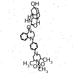 CC1CN(c2ccc(N3CCN(OC(=O)NC4[C@@H]5CC6C[C@H]4CC(O)(C6)C5)c4ccccc43)cc2)CC(C)N1S(C)(=O)=O